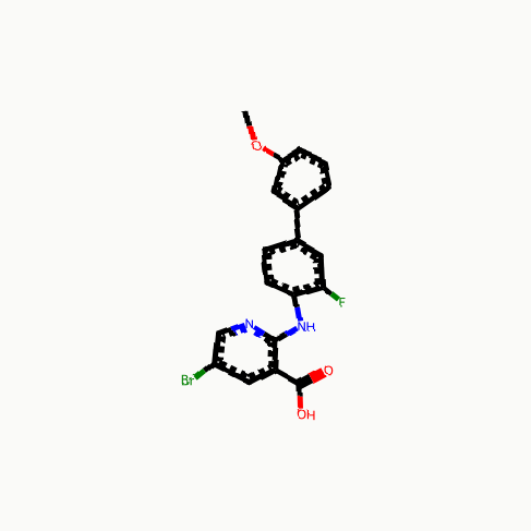 COc1cccc(-c2ccc(Nc3ncc(Br)cc3C(=O)O)c(F)c2)c1